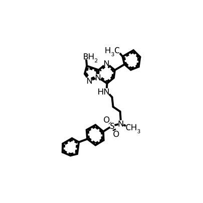 Bc1cnn2c(NCCCN(C)S(=O)(=O)c3ccc(-c4ccccc4)cc3)cc(-c3ccccc3C)nc12